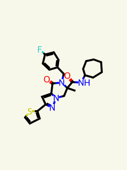 CC1(C(=O)NC2CCCCCC2)Cn2nc(-c3cccs3)cc2C(=O)N1Cc1ccc(F)cc1